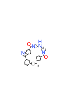 Cn1cc(-c2cccc(C(F)(F)F)c2)c2ccc(C(=O)N3CC(N[C@H]4CCN(C(=O)c5ccccc5)C4)C3)cc21